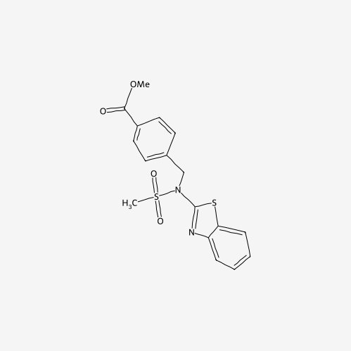 COC(=O)c1ccc(CN(c2nc3ccccc3s2)S(C)(=O)=O)cc1